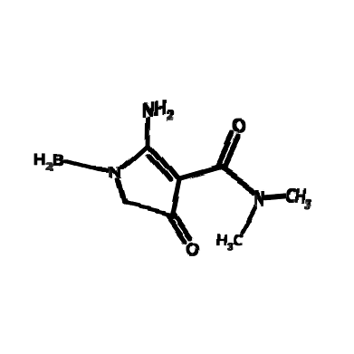 BN1CC(=O)C(C(=O)N(C)C)=C1N